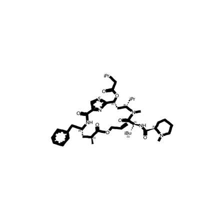 C=CCOC(=O)[C@@H](C)C[C@H](Cc1ccccc1)NC(=O)c1csc([C@@H](C[C@H](C(C)C)N(C)C(=O)[C@@H](NC(=O)[C@H]2CCCCN2C)[C@@H](C)CC)OC(=O)CC(C)C)n1